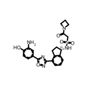 Nc1cc(-c2nc(-c3cccc4c3CC[C@@H]4NS(=O)(=O)CC(=O)N3CCC3)no2)ccc1O